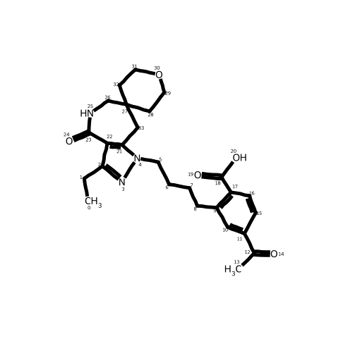 CCc1nn(CCCCc2cc(C(C)=O)ccc2C(=O)O)c2c1C(=O)NCC1(CCOCC1)C2